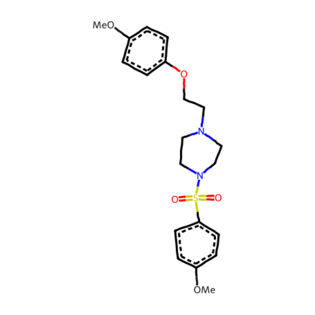 COc1ccc(OCCN2CCN(S(=O)(=O)c3ccc(OC)cc3)CC2)cc1